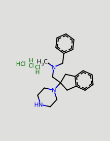 CN(Cc1ccccc1)CC1(N2CCNCC2)Cc2ccccc2C1.Cl.Cl.Cl